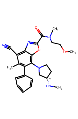 CN[C@H]1CCN(c2c(-c3ccccc3)c(C)c(C#N)c3nc(C(=O)N(C)CCOC)oc23)C1